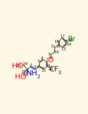 NC(/C=C/c1ccc(OCCCc2ccc(Br)cc2)c(C(F)(F)F)c1)(CO)CO